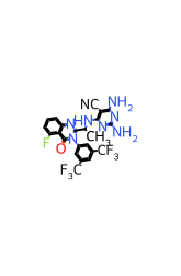 CC(Nc1nc(N)nc(N)c1C#N)c1nc2cccc(F)c2c(=O)n1-c1cc(C(F)(F)F)cc(C(F)(F)F)c1